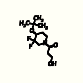 CC(C)(C)O[C@H]1CCN(C(=O)CCO)CC1(F)F